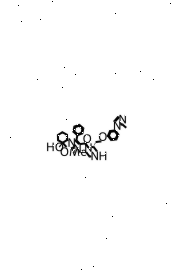 COC[C@]1(O)CCCC[C@H]1n1cnc(C(=O)N2CCNC[C@H]2CCOc2cccc(-n3ccnc3C)c2)c1-c1ccccc1